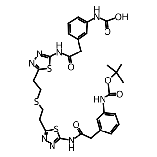 CC(C)(C)OC(=O)Nc1cccc(CC(=O)Nc2nnc(CCSCCc3nnc(NC(=O)Cc4cccc(NC(=O)O)c4)s3)s2)c1